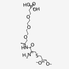 COC[C@H](CSC[C@H](N)C(=O)N[C@@H](C)COCCOCCOCCP(=O)(O)O)OC